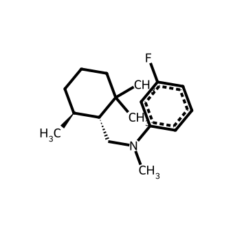 C[C@H]1CCCC(C)(C)[C@@H]1CN(C)c1cccc(F)c1